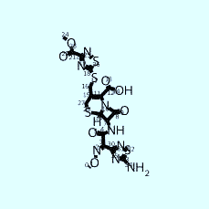 CO/N=C(/C(=O)NC1C(=O)N2C(C(=O)O)=C(CSc3nc(C(=O)OC)ns3)CS[C@H]12)c1nsc(N)n1